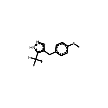 CSc1ccc(Cc2[c]n[nH]c2C(F)(F)F)cc1